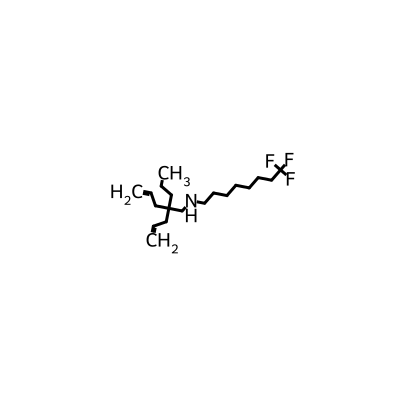 C=CCC(CC=C)(CCC)CNCCCCCCCC(F)(F)F